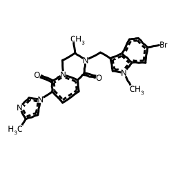 Cc1cn(-c2ccc3n(c2=O)CC(C)N(Cc2cn(C)c4cc(Br)ccc24)C3=O)cn1